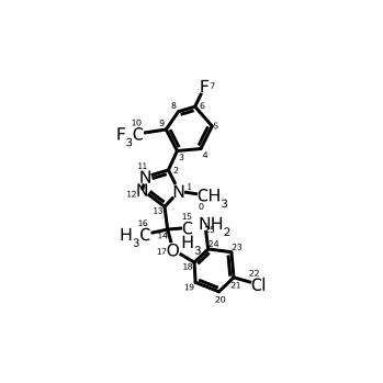 Cn1c(-c2ccc(F)cc2C(F)(F)F)nnc1C(C)(C)Oc1ccc(Cl)cc1N